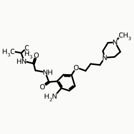 CC(C)NC(=O)CNC(=O)c1cc(OCCCN2CCN(C)CC2)ccc1N